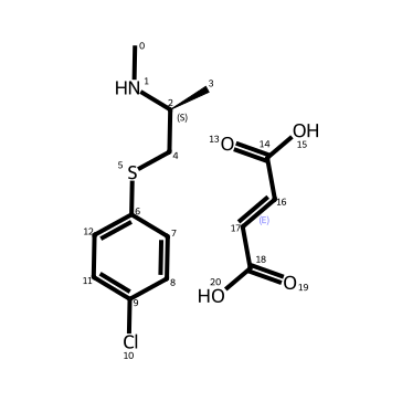 CN[C@@H](C)CSc1ccc(Cl)cc1.O=C(O)/C=C/C(=O)O